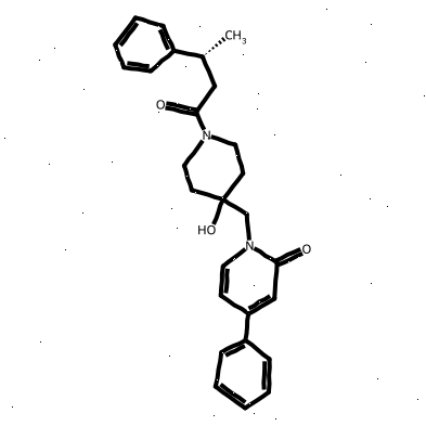 C[C@H](CC(=O)N1CCC(O)(Cn2ccc(-c3ccccc3)cc2=O)CC1)c1ccccc1